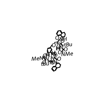 CN[C@@H](C)C(=O)N[C@H](C(=O)N[C@@H](COCc1cccc(COC[C@H](NC(=O)[C@@H](NC(=O)[C@H](C)NC)C(C)(C)C)C(=O)N[C@@H]2CCCc3ccccc32)c1)C(=O)N[C@@H]1CCCc2ccccc21)C(C)(C)C